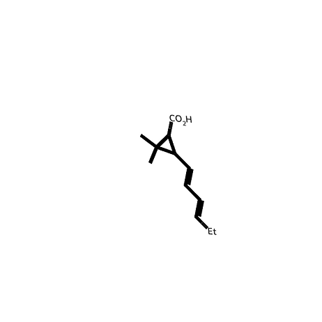 CC/C=C/C=C/C1C(C(=O)O)C1(C)C